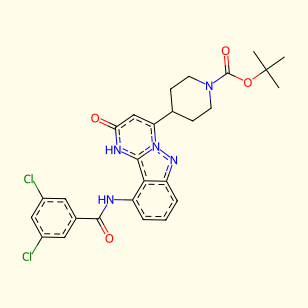 CC(C)(C)OC(=O)N1CCC(c2cc(=O)[nH]c3c4c(NC(=O)c5cc(Cl)cc(Cl)c5)cccc4nn23)CC1